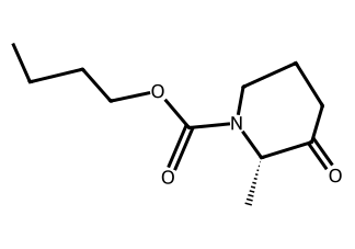 CCCCOC(=O)N1CCCC(=O)[C@@H]1C